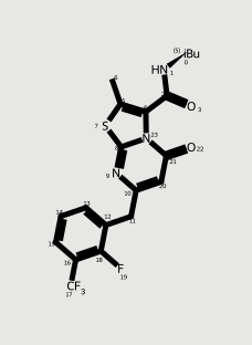 CC[C@H](C)NC(=O)c1c(C)sc2nc(Cc3cccc(C(F)(F)F)c3F)cc(=O)n12